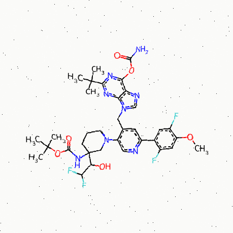 COc1cc(F)c(-c2cc(Cn3cnc4c(OC(N)=O)nc(C(C)(C)C)nc43)c(N3CCCC(NC(=O)OC(C)(C)C)(C(O)C(F)F)C3)cn2)cc1F